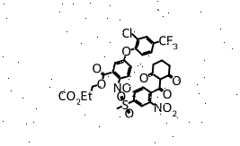 CCOC(=O)COC(=O)c1cc(Oc2ccc(C(F)(F)F)cc2Cl)ccc1[N+](=O)[O-].CS(=O)(=O)c1ccc(C(=O)C2C(=O)CCCC2=O)c([N+](=O)[O-])c1